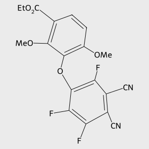 CCOC(=O)c1ccc(OC)c(Oc2c(F)c(F)c(C#N)c(C#N)c2F)c1OC